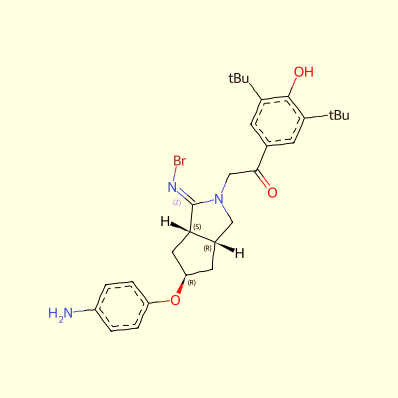 CC(C)(C)c1cc(C(=O)CN2C[C@@H]3C[C@@H](Oc4ccc(N)cc4)C[C@@H]3/C2=N/Br)cc(C(C)(C)C)c1O